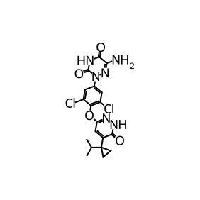 CC(C)C1(c2cc(Oc3c(Cl)cc(-n4nc(N)c(=O)[nH]c4=O)cc3Cl)n[nH]c2=O)CC1